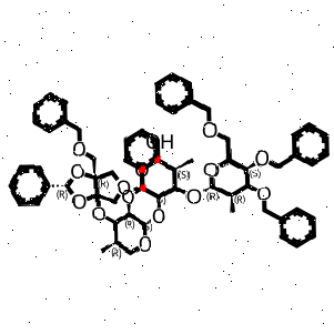 CC1OC(O)[C@@H](C)C(O[C@@H]2OC(COCc3ccccc3)[C@@H](OCc3ccccc3)C(OCc3ccccc3)[C@H]2C)[C@H]1O[C@@H]1OC[C@@H](C)C(OC23COC[C@@]2(COCc2ccccc2)O[C@@H](c2ccccc2)O3)[C@H]1OCc1ccccc1